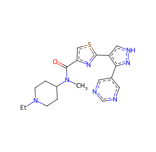 CCN1CCC(N(C)C(=O)c2csc(-c3c[nH]nc3-c3cncnc3)n2)CC1